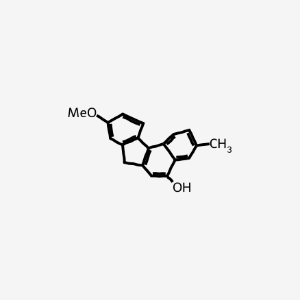 COc1ccc2c(c1)Cc1cc(O)c3cc(C)ccc3c1-2